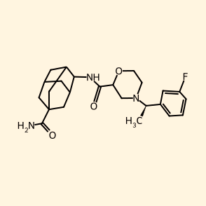 C[C@H](c1cccc(F)c1)N1CCOC(C(=O)NC2C3CC4CC2CC(C(N)=O)(C4)C3)C1